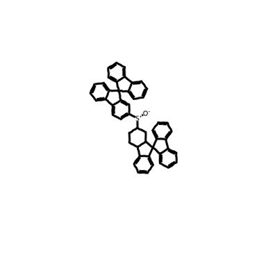 [O-][S+](c1ccc2c(c1)C1(c3ccccc3-c3ccccc31)c1ccccc1-2)C1CCC2c3ccccc3C3(c4ccccc4-c4ccccc43)C2C1